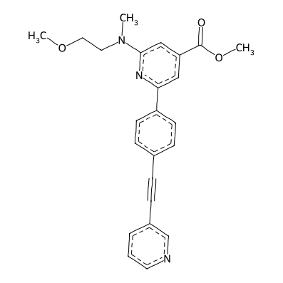 COCCN(C)c1cc(C(=O)OC)cc(-c2ccc(C#Cc3cccnc3)cc2)n1